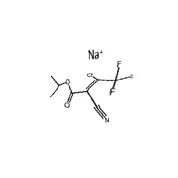 CC(C)OC(=O)C(C#N)=C([O-])C(F)(F)F.[Na+]